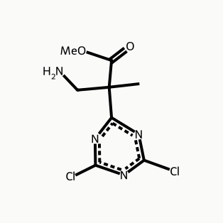 COC(=O)C(C)(CN)c1nc(Cl)nc(Cl)n1